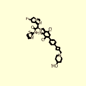 O=C(Nc1nccs1)[C@@H](c1ncn2c1C[C@@H](F)C2)n1cc2c(Cl)cc(-c3ccc(C4CC(CN5CCC(O)CC5)C4)cc3)c(Cl)c2n1